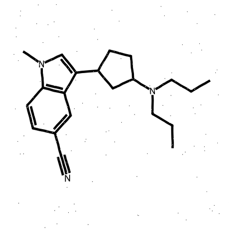 CCCN(CCC)C1CCC(c2cn(C)c3ccc(C#N)cc23)C1